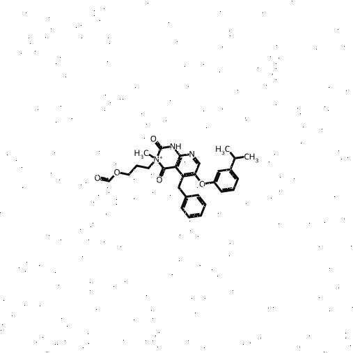 CC(C)c1cccc(Oc2cnc3c(c2Cc2ccccc2)C(=O)[N+](C)(CCCOC=O)C(=O)N3)c1